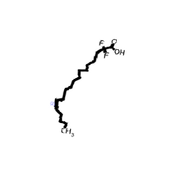 CCCC/C=C\CCCCCCCCCCC(F)(F)C(=O)O